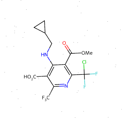 COC(=O)c1c(C(F)(F)Cl)nc(C(F)(F)F)c(C(=O)O)c1NCC1CC1